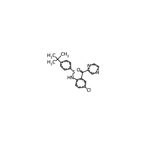 CC(C)(C)c1ccc(SNc2ccc(Cl)cc2C(=O)c2cnccn2)cc1